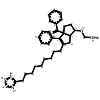 C=C(c1ccccc1)C12CCC(OCOC)C1CC(CCCCCCCCCc1nnn[nH]1)=C2c1ccccc1